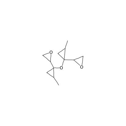 CC1CC1(OC1(C2CO2)CC1C)C1CO1